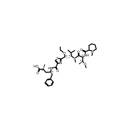 CCO[C@H](C[C@H](C(C)C)N(C)C(=O)[C@@H](NC(=O)C1CCCCN1C)[C@H](C)OC)c1nc(C(=O)N[C@@H](Cc2ccccc2)C[C@H](C)C(=O)O)cs1